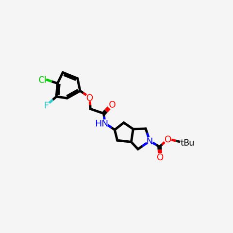 CC(C)(C)OC(=O)N1CC2CC(NC(=O)COc3ccc(Cl)c(F)c3)CC2C1